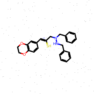 S/C(=C\c1ccc2c(c1)OCCO2)CN(Cc1ccccc1)NCc1ccccc1